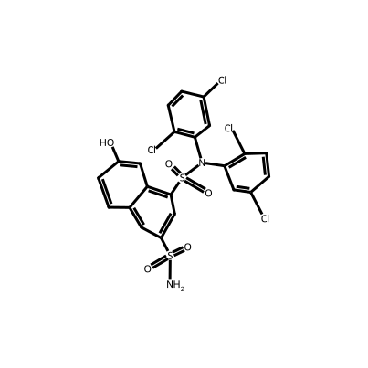 NS(=O)(=O)c1cc(S(=O)(=O)N(c2cc(Cl)ccc2Cl)c2cc(Cl)ccc2Cl)c2cc(O)ccc2c1